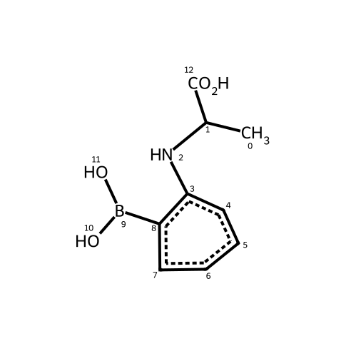 CC(Nc1ccccc1B(O)O)C(=O)O